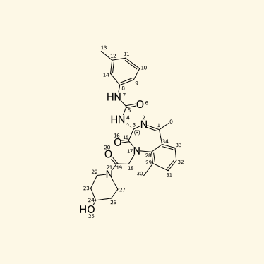 CC1=N[C@@H](NC(=O)Nc2cccc(C)c2)C(=O)N(CC(=O)N2CCC(O)CC2)c2c(C)cccc21